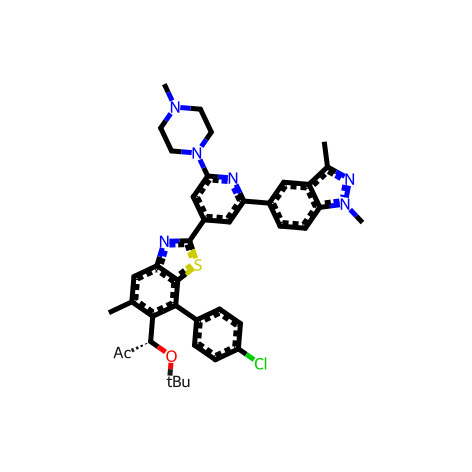 CC(=O)[C@@H](OC(C)(C)C)c1c(C)cc2nc(-c3cc(-c4ccc5c(c4)c(C)nn5C)nc(N4CCN(C)CC4)c3)sc2c1-c1ccc(Cl)cc1